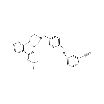 CC(C)OC(=O)c1cccnc1N1CCN(Cc2ccc(COc3cccc(C#N)c3)cc2)CC1